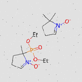 CC1(C)CCC=[N+]1[O-].CCOP(=O)(OCC)C1(C)CCC=[N+]1[O-]